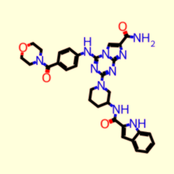 NC(=O)c1cn2c(Nc3ccc(C(=O)N4CCOCC4)cc3)nc(N3CCCC(NC(=O)c4cc5ccccc5[nH]4)C3)nc2n1